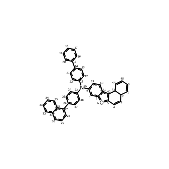 C1=CC2C=Cc3oc4cc(N(c5ccc(-c6ccccc6)cc5)c5ccc(-c6cccc7ccccc67)cc5)ccc4c3C2C=C1